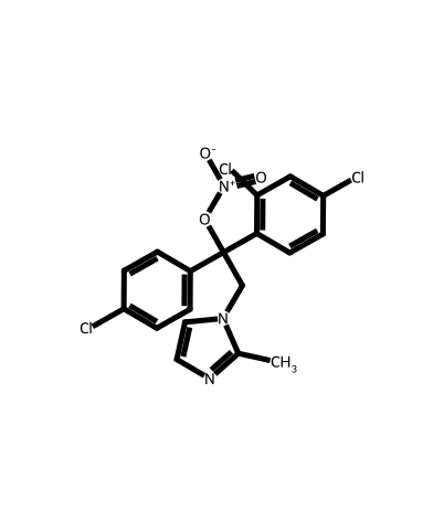 Cc1nccn1CC(O[N+](=O)[O-])(c1ccc(Cl)cc1)c1ccc(Cl)cc1Cl